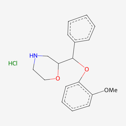 COc1ccccc1OC(c1ccccc1)C1CNCCO1.Cl